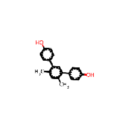 Cc1cc(C)c(-c2ccc(O)cc2)cc1-c1ccc(O)cc1